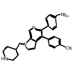 CC(C)(C)c1ccc(-c2ncc3c(ccn3CC3CCNCC3)c2-c2ccc(C#N)cc2)cc1